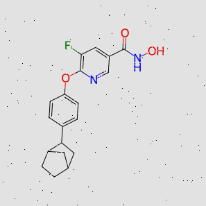 O=C(NO)c1cnc(Oc2ccc(C3CC4CCC3C4)cc2)c(F)c1